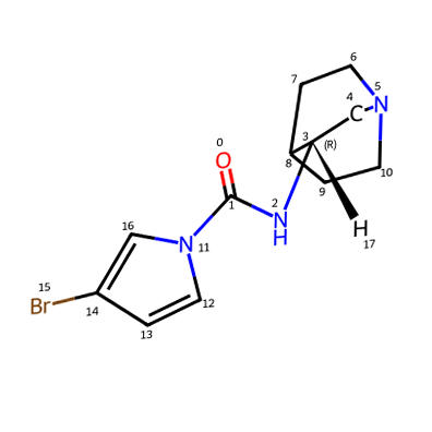 O=C(N[C@H]1CN2CCC1CC2)n1ccc(Br)c1